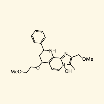 COCCOC1CC(c2ccccc2)NC2=C1C=C[N+]1(O)C2=NC(COC)=C1C